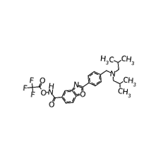 CC(C)CN(Cc1ccc(-c2nc3cc(C(=O)NOC(=O)C(F)(F)F)ccc3o2)cc1)CC(C)C